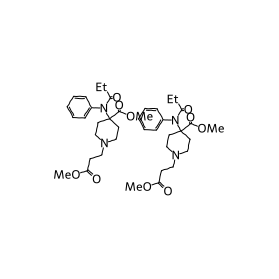 CCC(=O)N(c1ccccc1)C1(C(=O)OC)CCN(CCC(=O)OC)CC1.CCC(=O)N(c1ccccc1)C1(C(=O)OC)CCN(CCC(=O)OC)CC1